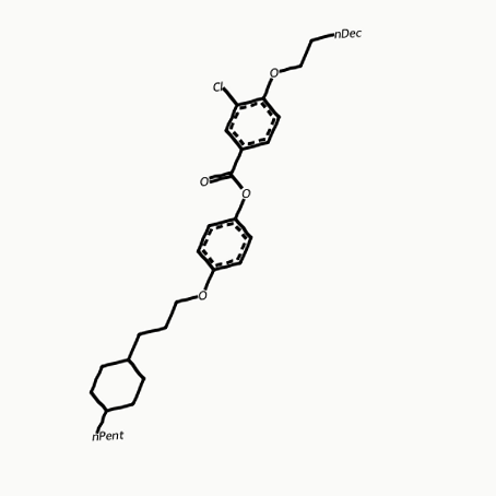 CCCCCCCCCCCCOc1ccc(C(=O)Oc2ccc(OCCCC3CCC(CCCCC)CC3)cc2)cc1Cl